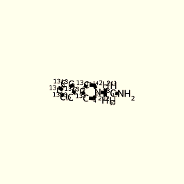 [2H]C([2H])(N1C[13CH2][13CH]([13c]2[13cH][13cH][13cH][13cH][13cH]2)[13CH2]C1)[13C]([2H])([2H])N